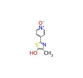 Cc1nc(-c2cc[n+]([O-])cc2)sc1O